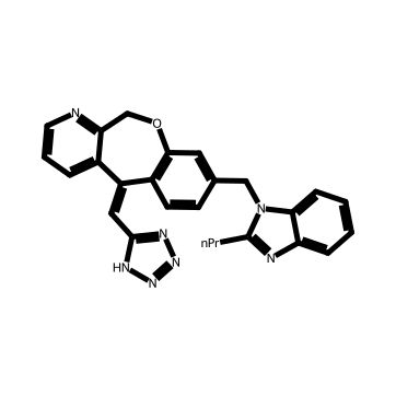 CCCc1nc2ccccc2n1Cc1ccc2c(c1)OCc1ncccc1/C2=C/c1nnn[nH]1